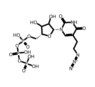 [N-]=[N+]=NCCc1cn([C@@H]2O[C@H](COP(=O)(O)OP(=O)(O)OP(=O)(O)O)C(O)C2O)c(=O)[nH]c1=O